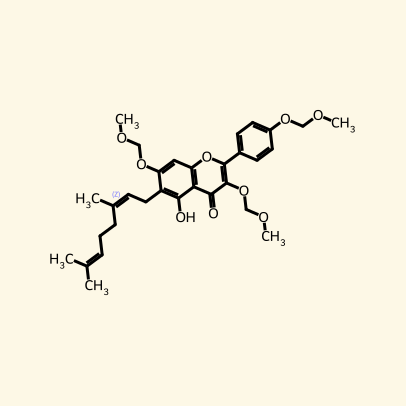 COCOc1ccc(-c2oc3cc(OCOC)c(C/C=C(/C)CCC=C(C)C)c(O)c3c(=O)c2OCOC)cc1